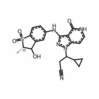 C[C@H]1C(O)c2cc(Nc3nn(C(CC#N)C4CC4)c4cc[nH]c(=O)c34)ccc2S1(=O)=O